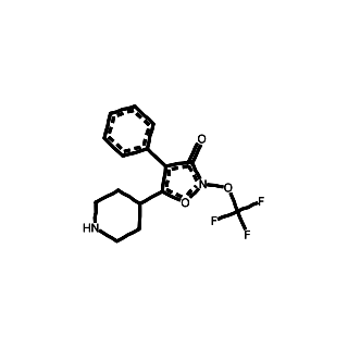 O=c1c(-c2ccccc2)c(C2CCNCC2)on1OC(F)(F)F